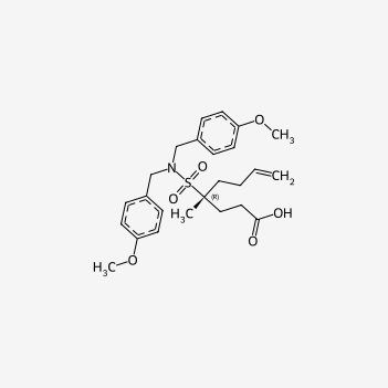 C=CCC[C@](C)(CCC(=O)O)S(=O)(=O)N(Cc1ccc(OC)cc1)Cc1ccc(OC)cc1